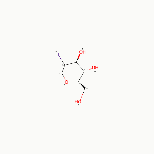 OC[C@H]1OCC(I)[C@@H](O)[C@@H]1O